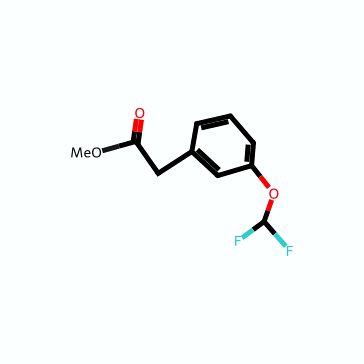 COC(=O)Cc1cccc(OC(F)F)c1